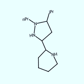 CCCN1NC(C2CCCCN2)CC1C(C)C